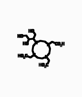 O=C(O)CN1CCN(CC(=O)O)CCN(C(CO)C(O)CO)CCN(CC(=O)O)CC1